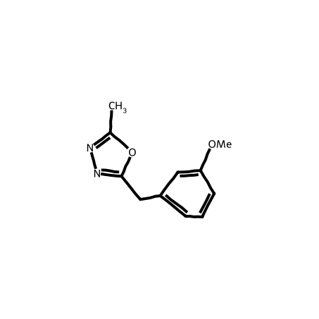 COc1cccc(Cc2nnc(C)o2)c1